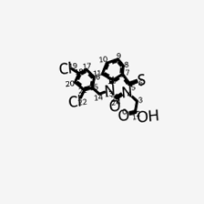 O=C(O)Cn1c(=S)c2ccccc2n(Cc2ccc(Cl)cc2Cl)c1=O